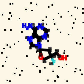 Nc1ncnc2c1ncn2[C@H]1C[C@](F)(CO)CO1